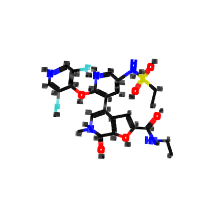 CCNC(=O)c1cc2c(-c3cc(NS(=O)(=O)CC)cnc3Oc3c(F)cncc3F)cn(C)c(=O)c2o1